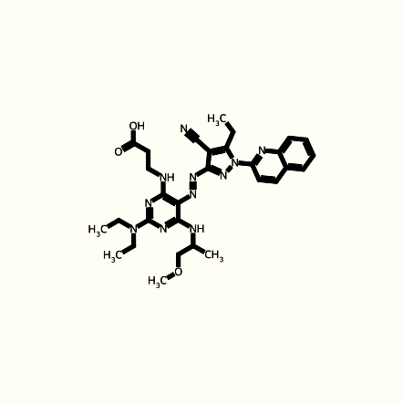 CCc1c(C#N)c(N=Nc2c(NCCC(=O)O)nc(N(CC)CC)nc2NC(C)COC)nn1-c1ccc2ccccc2n1